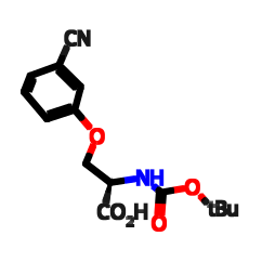 CC(C)(C)OC(=O)N[C@H](COc1cccc(C#N)c1)C(=O)O